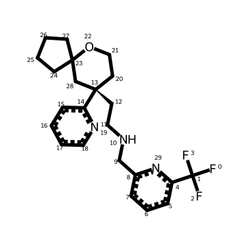 FC(F)(F)c1cccc(CNCC[C@]2(c3ccccn3)CCOC3(CCCC3)C2)n1